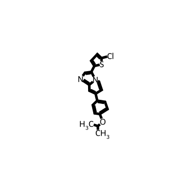 CC(C)Oc1ccc(-c2ccn3c(-c4ccc(Cl)s4)cnc3c2)cc1